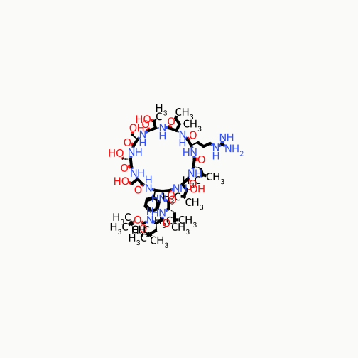 CC[C@H](C)[C@@H]1NC(=O)[C@@H](CCCNC(=N)N)NC(=O)[C@H](CC(C)C)NC(=O)[C@H]([C@H](O)C(C)C)NC(=O)[C@@H](NC(=O)[C@H](CC(C)(C)C)NC(=O)[C@@H](CC(C)(C)C)NC(=O)OC(C)(C)C)[C@@H](c2ccccc2)NC(=O)C(CO)NC(=O)[C@H](CO)NC(=O)[C@@H](CO)NC(=O)[C@H]([C@H](C)O)NC1=O